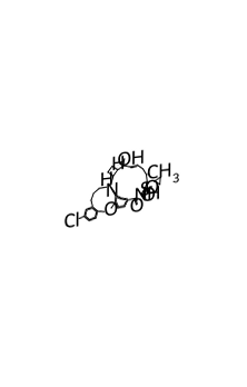 C[C@@H]1C/C=C/[C@H](O)[C@@H]2CC[C@H]2CN2CCCCc3cc(Cl)ccc3COc3ccc(cc32)C(=O)NS(=O)(=O)[C@H]1C1CC1